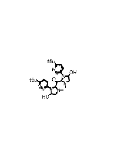 CN1CC(O)N(c2ccc(C(C)(C)C)nn2)C1C(=O)C1N(C)CC(O)N1c1ccc(C(C)(C)C)nn1